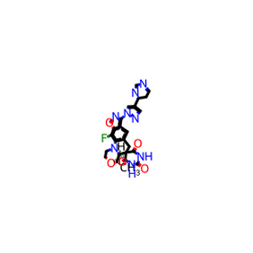 C[C@@H]1OCCN2c3c(cc4c(-n5cc(C6CC=NC=N6)cn5)noc4c3F)CC3(C(=O)NC(=O)NC3=O)[C@@H]12